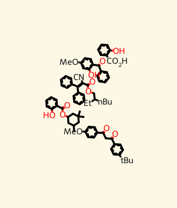 CC1CC(OC(=O)c2ccccc2O)CC(C)(C)C1.CCCCC(CC)COC(=O)C(C#N)=C(c1ccccc1)c1ccccc1.COc1ccc(C(=O)CC(=O)c2ccc(C(C)(C)C)cc2)cc1.COc1ccc(C(=O)c2ccccc2)c(O)c1.O=C(O)c1ccccc1O